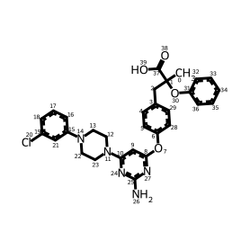 CC(Cc1ccc(Oc2cc(N3CCN(c4cccc(Cl)c4)CC3)nc(N)n2)cc1)(Oc1ccccc1)C(=O)O